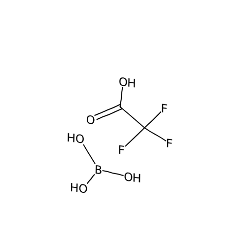 O=C(O)C(F)(F)F.OB(O)O